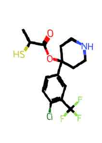 CC(S)C(=O)OC1(c2ccc(Cl)c(C(F)(F)F)c2)CCNCC1